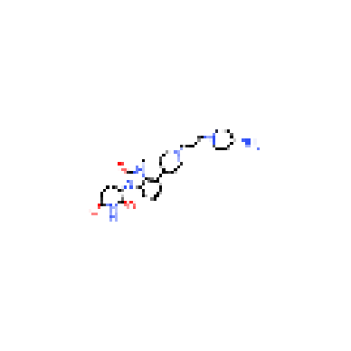 Cn1c(=O)n(C2CCC(=O)NC2=O)c2cccc(C3CCN(CCCN4CCC(N)CC4)CC3)c21